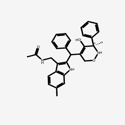 CC(=O)NCc1c(C(C2=C(O)[C@@](C)(c3ccccc3)NOC2)c2ccccc2)[nH]c2cc(C)ccc12